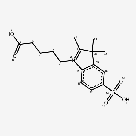 CC1=[N+](CCCCC(=O)O)c2ccc(S(=O)(=O)O)cc2C1(C)C